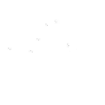 O=C(Nc1n[nH]c2c1CN(S(=O)(=O)c1cc(F)cc(F)c1)CC2)c1ccncc1NC(=O)C1CCOC1